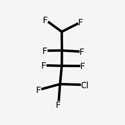 FC(F)C(F)(F)C(F)(F)C(F)(F)Cl